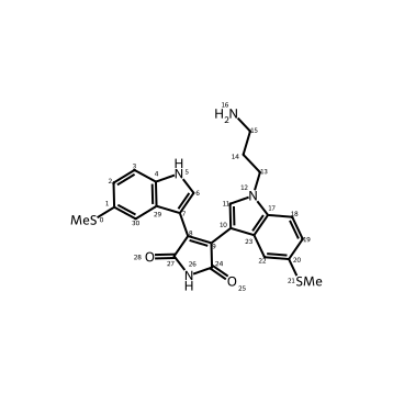 CSc1ccc2[nH]cc(C3=C(c4cn(CCCN)c5ccc(SC)cc45)C(=O)NC3=O)c2c1